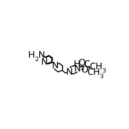 CC(C)(C)OC(=O)N1CCN(CC2CCN(c3ccc(N)nc3)CC2)CC1